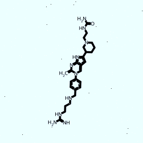 C=C1N=c2[nH]c(C3CCCN(CCNC(N)=O)C3)cc2=CN1c1ccc(CNCCCNC(=N)N)cc1